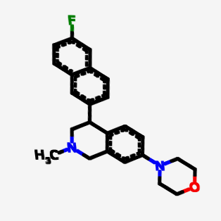 CN1Cc2cc(N3CCOCC3)ccc2C(c2ccc3cc(F)ccc3c2)C1